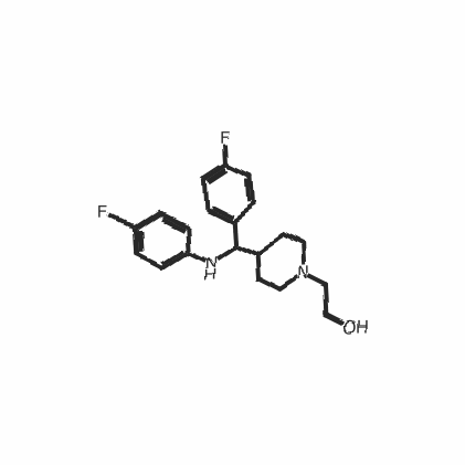 OCCN1CCC(C(Nc2ccc(F)cc2)c2ccc(F)cc2)CC1